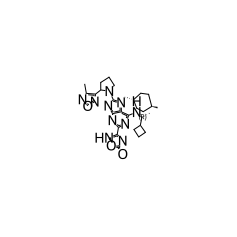 Cc1nonc1C1CCCN1c1nc2nc(-c3nc(=O)o[nH]3)nc(N[C@H](C)C3CCC3)c2n1C[C@H]1CC[C@H](C)CC1